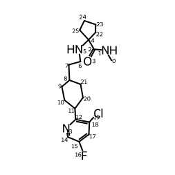 CNC(=O)C1(NCCC2CCC(c3ncc(F)cc3Cl)CC2)CCCC1